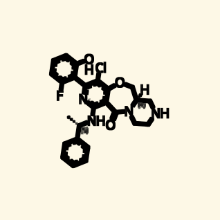 C[C@H](Nc1nc(-c2c(O)cccc2F)c(Cl)c2c1C(=O)N1CCNC[C@@H]1CO2)c1ccccc1